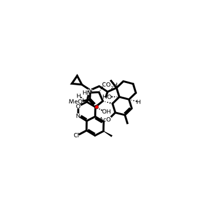 COC(=O)N(CC(C)C1(C)CCC[C@H]2C=C(C)C(OC(C)=O)C([C@H]3[C@@H](C(=O)O)N[C@@H]4ON=C5C(Cl)=C[C@H](C)C=C5[C@@]43O)[C@]21O)C1CC1